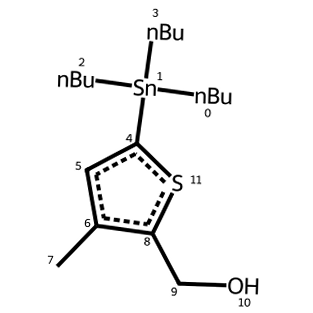 CCC[CH2][Sn]([CH2]CCC)([CH2]CCC)[c]1cc(C)c(CO)s1